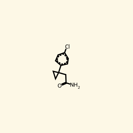 NC(=O)CC1(c2ccc(Cl)cc2)CC1